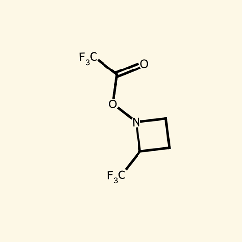 O=C(ON1CCC1C(F)(F)F)C(F)(F)F